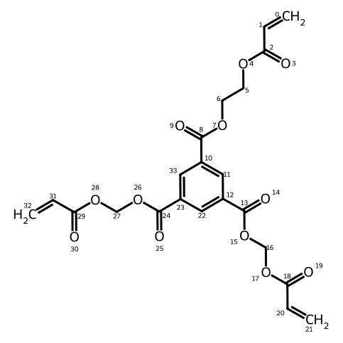 C=CC(=O)OCCOC(=O)c1cc(C(=O)OCOC(=O)C=C)cc(C(=O)OCOC(=O)C=C)c1